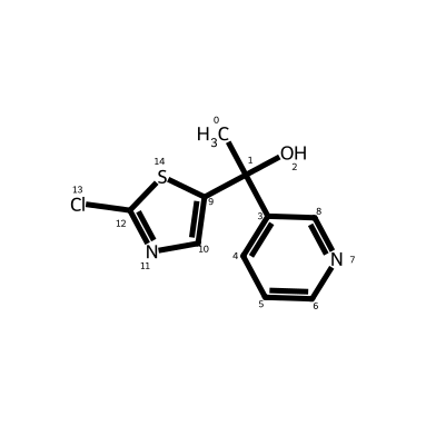 CC(O)(c1cccnc1)c1cnc(Cl)s1